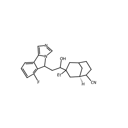 CCC1(C(O)CC2c3c(F)cccc3-c3cncn32)CC2CCC(C#N)[C@H](C2)C1